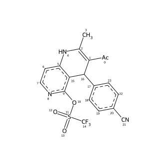 CC(=O)C1=C(C)Nc2ccnc(OS(=O)(=O)C(F)(F)F)c2C1c1ccc(C#N)cc1